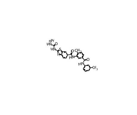 CCCNC(=O)Nc1nc2ccc(C(=O)Nc3cc(C(=O)Nc4cccc(C(F)(F)F)c4)ccc3C)cc2s1